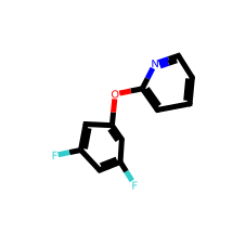 Fc1cc(F)cc(Oc2ccccn2)c1